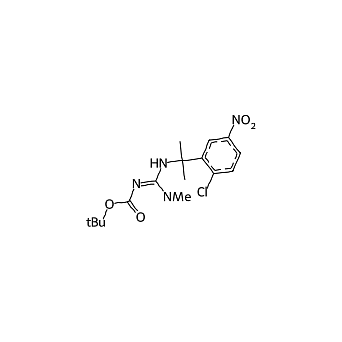 CN/C(=N\C(=O)OC(C)(C)C)NC(C)(C)c1cc([N+](=O)[O-])ccc1Cl